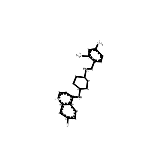 Cc1ccc(CNC2CCC(Nc3ccnc4cc(Cl)ccc34)CC2)c(C)c1